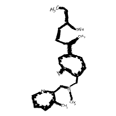 C=C(/C=C\C(=C/C)OC)c1ccc(CN(C)Cc2ncccc2C)c(F)c1